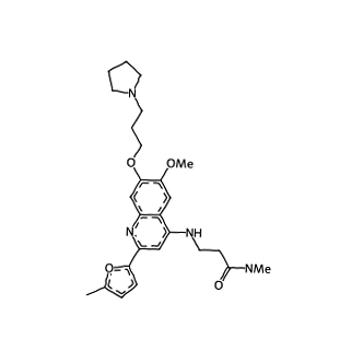 CNC(=O)CCNc1cc(-c2ccc(C)o2)nc2cc(OCCCN3CCCC3)c(OC)cc12